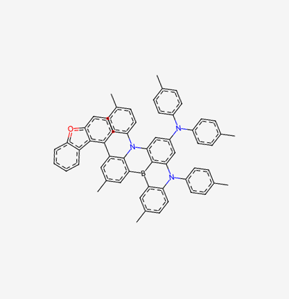 Cc1ccc(N(c2ccc(C)cc2)c2cc3c4c(c2)N(c2ccc(C)cc2)c2c(cc(C)cc2-c2cccc5oc6ccccc6c25)B4c2cc(C)ccc2N3c2ccc(C)cc2)cc1